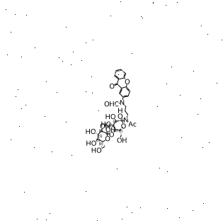 CC(=O)N(CCCN(C=O)c1ccc2oc3ccccc3c(=O)c2c1)[C@@]1(O)O[C@H](CO)[C@@H](O[C@@]2(O)O[C@H](CO)[C@@H](O)[C@H](O)[C@H]2O)[C@H](O)[C@H]1O